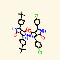 CC(C)(C)c1ccc(C2=C3C(=O)NC(c4ccc(C(C)(C)C)cc4)=C3C(=O)N2)cc1.O=C1NC(c2ccc(Cl)cc2)=C2C(=O)NC(c3ccc(Cl)cc3)=C12